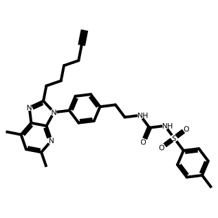 C#CCCCCc1nc2c(C)cc(C)nc2n1-c1ccc(CCNC(=O)NS(=O)(=O)c2ccc(C)cc2)cc1